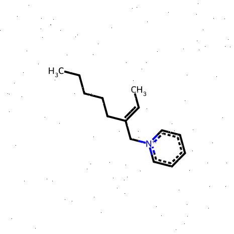 CC=C(CCCCC)C[n+]1ccccc1